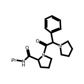 CC(C)NC(=O)C1CCCN1C(=O)C(c1ccccc1)N1CCCC1